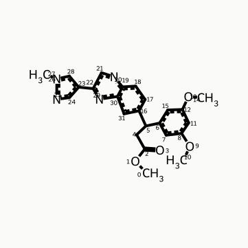 COC(=O)CC(c1cc(OC)cc(OC)c1)c1ccc2ncc(-c3cnn(C)c3)nc2c1